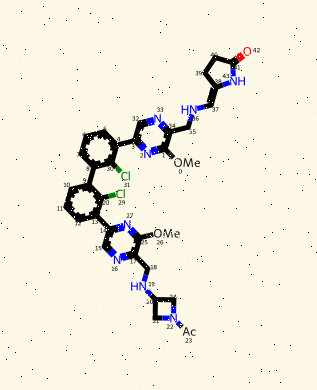 COc1nc(-c2cccc(-c3cccc(-c4cnc(CNC5CN(C(C)=O)C5)c(OC)n4)c3Cl)c2Cl)cnc1CN/C=C1\CCC(=O)N1